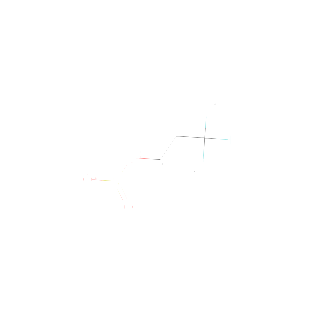 O=S(O)OCCC(F)(F)F